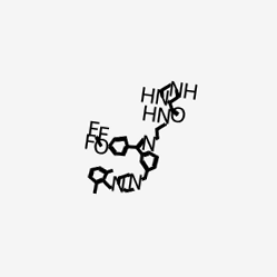 Cc1cccc(C)c1CN1CCN(Cc2ccc3c(c2)c(-c2ccc(OC(F)(F)F)cc2)cn3CCCNC(=O)C2CNCCN2)CC1